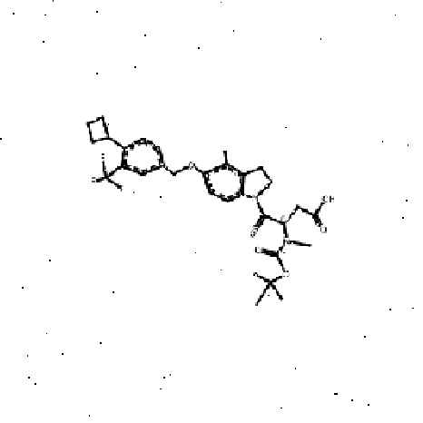 Cc1c(OCc2ccc(C3CCC3)c(C(F)(F)F)c2)ccc2c1CCN2C(=O)[C@@H](CC(=O)O)N(C)C(=O)OC(C)(C)C